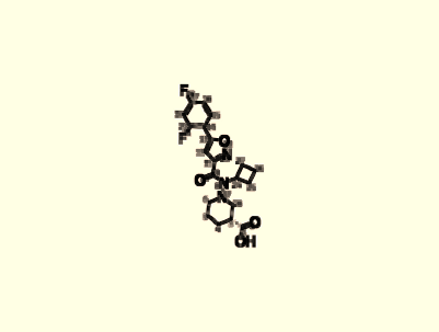 O=C(O)[C@@H]1CCCN(N(C(=O)c2cc(-c3ccc(F)cc3F)on2)C2CCC2)C1